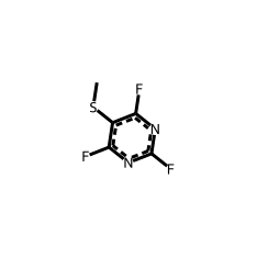 CSc1c(F)nc(F)nc1F